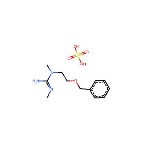 CN=C(N)N(C)CCOCc1ccccc1.O=S(=O)(O)O